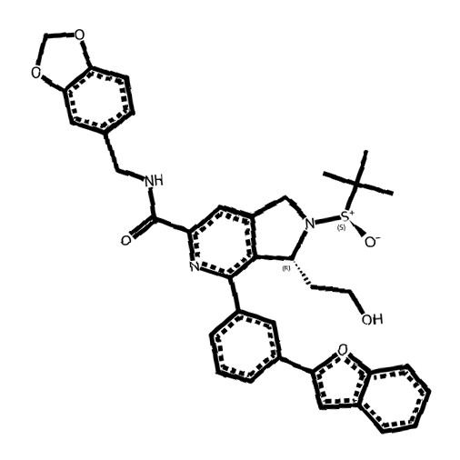 CC(C)(C)[S@@+]([O-])N1Cc2cc(C(=O)NCc3ccc4c(c3)OCO4)nc(-c3cccc(-c4cc5ccccc5o4)c3)c2[C@H]1CCO